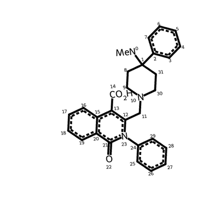 CNC1(c2ccccc2)CCN(Cc2c(C(=O)O)c3ccccc3c(=O)n2-c2ccccc2)CC1